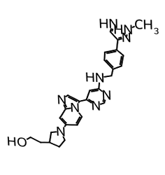 CN/N=C(\C=N)c1ccc(CNc2cc(-c3cnc4cc(N5CCC(CCO)C5)ccn34)ncn2)cc1